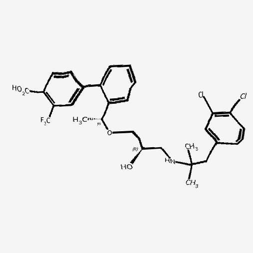 C[C@@H](OC[C@H](O)CNC(C)(C)Cc1ccc(Cl)c(Cl)c1)c1ccccc1-c1ccc(C(=O)O)c(C(F)(F)F)c1